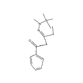 CCC(CC(=O)c1ccccc1)=NN(C)[Si](C)(C)C